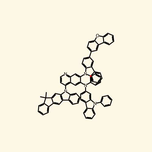 CC1(C)c2ccccc2-c2cc3c4ccccc4n(-c4ccnc5cc(-n6c7ccccc7c7cc(-c8ccc9oc%10ccccc%10c9c8)ccc76)c(N(c6ccccc6)c6ccc7c8ccccc8n(-c8ccccc8)c7c6)cc45)c3cc21